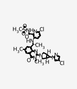 Cc1cc([C@@H](C)Nc2ccc(Cl)nc2C(=O)NS(C)(=O)=O)c2nc(N3C[C@@H]4C(n5cc(Cl)cn5)[C@@H]4C3)n(C)c(=O)c2c1